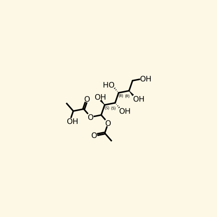 CC(=O)OC(OC(=O)C(C)O)[C@@H](O)[C@@H](O)[C@H](O)[C@H](O)CO